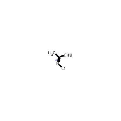 CC/N=C(/C)C=O